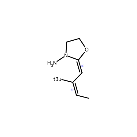 C/C=C(\C=C1\OCCN1N)C(C)(C)C